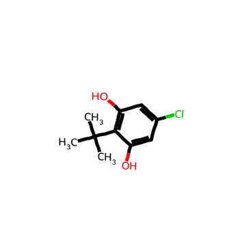 CC(C)(C)c1c(O)cc(Cl)cc1O